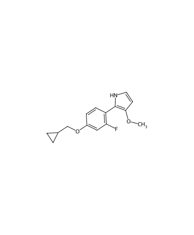 COc1cc[nH]c1-c1ccc(OCC2CC2)cc1F